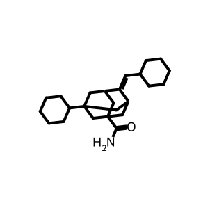 NC(=O)C12CC3CC(C4CCCCC4)(CC(C1)C3=CC1CCCCC1)C2